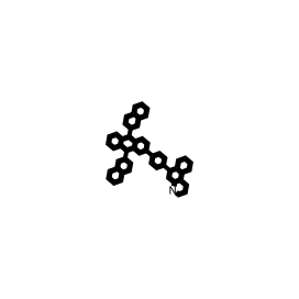 c1ccc2cc(-c3c4ccccc4c(-c4ccc5ccccc5c4)c4cc(-c5ccc(-c6cc7ncccc7c7ccccc67)cc5)ccc34)ccc2c1